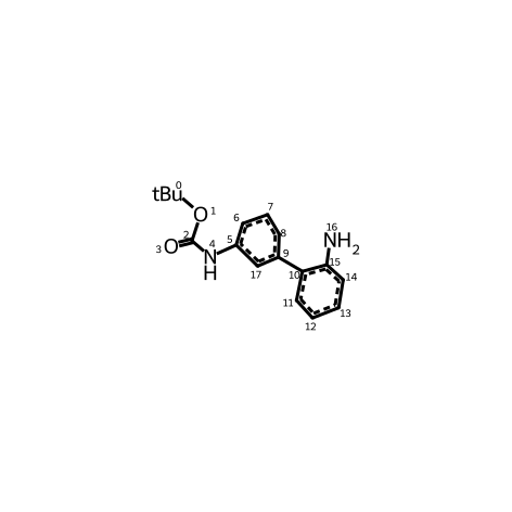 CC(C)(C)OC(=O)Nc1cccc(-c2ccccc2N)c1